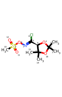 CC1(C)O[C@H](/C(Cl)=N/OS(C)(=O)=O)C(C)(C)O1